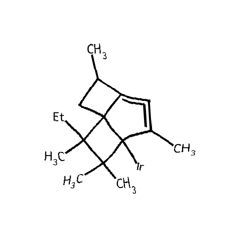 CCC1(C)C(C)(C)[C]2([Ir])C(C)=C=C3C(C)CC312